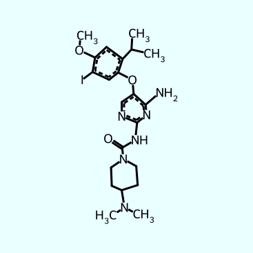 COc1cc(C(C)C)c(Oc2cnc(NC(=O)N3CCC(N(C)C)CC3)nc2N)cc1I